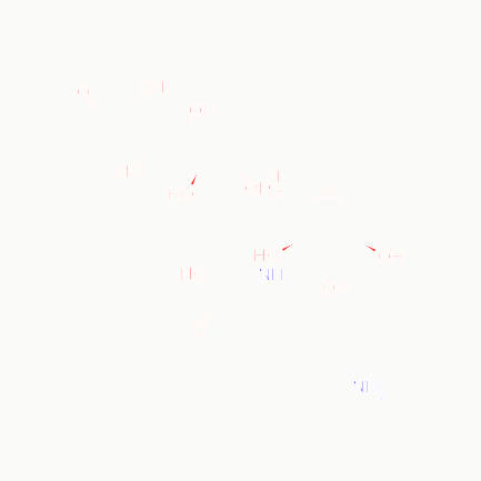 NCCCCC(N)C(=O)O.O=C[C@H](O)[C@@H](O)[C@H](O)[C@H](O)CO.OC1OC[C@@H](O)[C@H](O)[C@H]1O